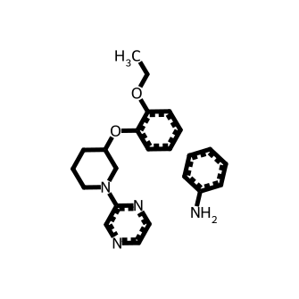 CCOc1ccccc1OC1CCCN(c2cnccn2)C1.Nc1ccccc1